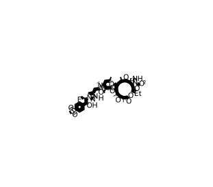 CC[C@H]1OC(=O)[C@H](C)C(=O)[C@H](C)[C@@H](O[C@@H]2O[C@H](C)C[C@H](N(C)CCc3cn([C@H](CF)[C@H](O)c4ccc(S(C)(=O)=O)cc4)nn3)[C@H]2CO)[C@](C)(OC)C[C@@H](C)C(=O)[C@H](C)[C@H]2N(N)C(=O)O[C@]12C